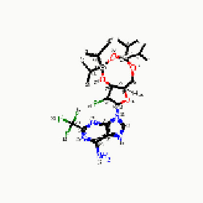 CC(C)[Si]1(C(C)C)OC[C@H]2O[C@@H](n3cnc4c(N)nc(C(F)(F)F)nc43)C(F)C2O[Si](C(C)C)(C(C)C)O1